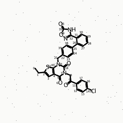 CCc1cc2c(=O)n(CC(=O)c3ccc(Cl)cc3)c(=O)n(Cc3ccc(-c4ccccc4-c4noc(=O)[nH]4)cc3)c2s1